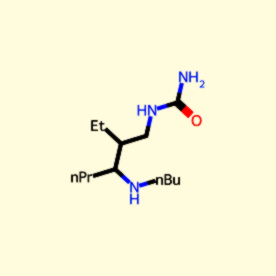 CCCCNC(CCC)C(CC)CNC(N)=O